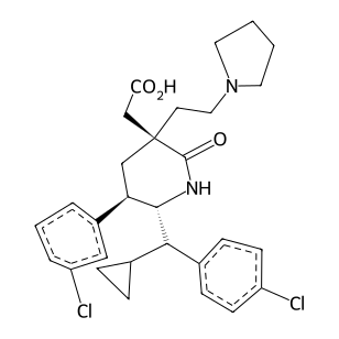 O=C(O)C[C@]1(CCN2CCCC2)C[C@H](c2cccc(Cl)c2)[C@@H](C(c2ccc(Cl)cc2)C2CC2)NC1=O